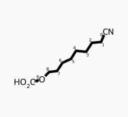 N#CCCCCCCCCOC(=O)O